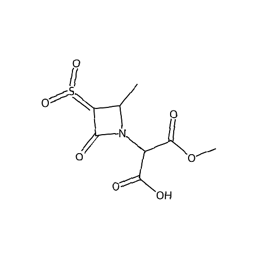 COC(=O)C(C(=O)O)N1C(=O)C(=S(=O)=O)C1C